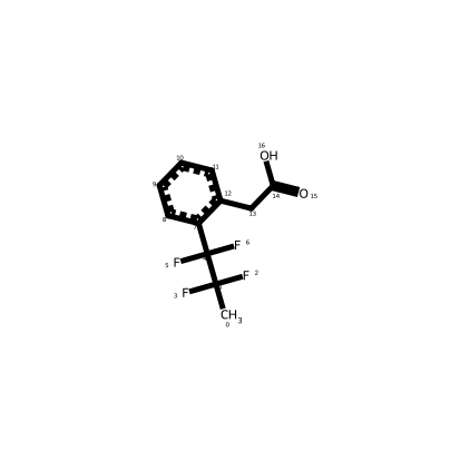 CC(F)(F)C(F)(F)c1ccccc1CC(=O)O